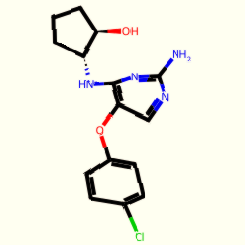 Nc1ncc(Oc2ccc(Cl)cc2)c(N[C@@H]2CCC[C@H]2O)n1